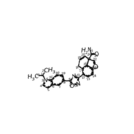 CC(C)n1ccc2cc(-c3nc(-c4cccc5c4CC=CC5(C=O)C(N)=O)no3)ccc21